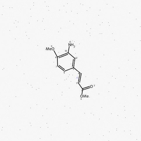 COC(=O)/C=C/c1ccc(OC)c(N)c1